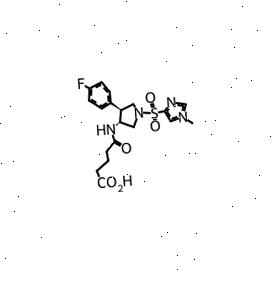 Cn1cnc(S(=O)(=O)N2C[C@H](NC(=O)CCCC(=O)O)[C@@H](c3ccc(F)cc3)C2)c1